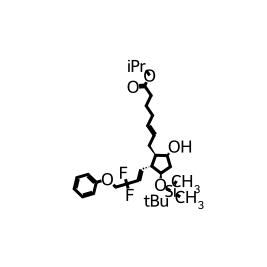 CC(C)OC(=O)CCC/C=C/C[C@@H]1[C@@H](/C=C/C(F)(F)COc2ccccc2)[C@H](O[Si](C)(C)C(C)(C)C)C[C@@H]1O